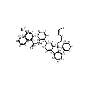 C/C=C\C=C/CC1(C2=CCCC=C2)C2=CC(C3=C(NC(=O)c4ccc(Br)c5ccccc45)CCC=C3)CC=C2c2ccccc21